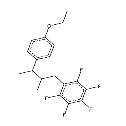 CCOc1ccc([C](C)C(C)Cc2c(F)c(F)c(F)c(F)c2F)cc1